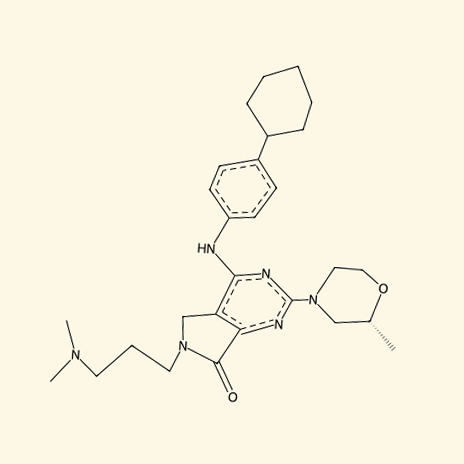 C[C@@H]1CN(c2nc(Nc3ccc(C4CCCCC4)cc3)c3c(n2)C(=O)N(CCCN(C)C)C3)CCO1